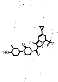 CC1CC(N2CCN(C(=O)c3nn4c(C(F)(F)F)cc(C5CC5)cc4c3Cl)CC2=O)CCC1O